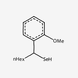 CCCCCCC([SeH])c1ccccc1OC